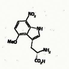 COc1ccc([N+](=O)[O-])c2[nH]cc(C[C@H](N)C(=O)O)c12